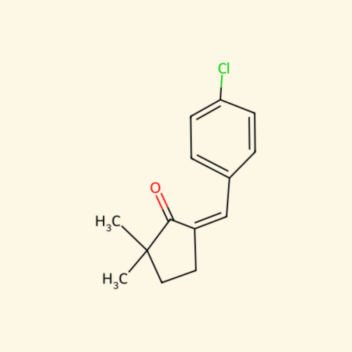 CC1(C)CCC(=Cc2ccc(Cl)cc2)C1=O